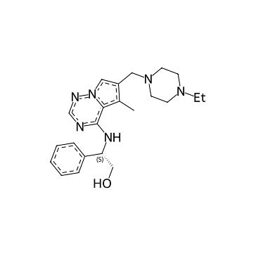 CCN1CCN(Cc2cn3ncnc(N[C@H](CO)c4ccccc4)c3c2C)CC1